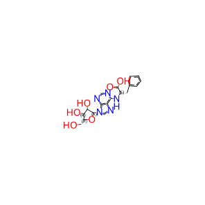 O=C(O)[C@H](Cc1ccccc1)Nc1ncnc2c1ncn2[C@@H]1O[C@H](CO)[C@H](O)C1O